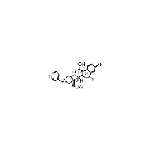 CC(=O)OCC(=O)[C@@]12CN(Cc3cccnc3)C[C@@H]1C[C@H]1[C@@H]3C[C@H](F)C4=CC(=O)C=C[C@]4(C)[C@@]3(F)[C@@H](O)C[C@@]12C